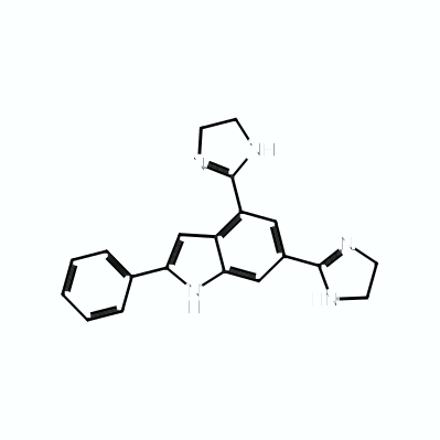 c1ccc(-c2cc3c(C4=NCCN4)cc(C4=NCCN4)cc3[nH]2)cc1